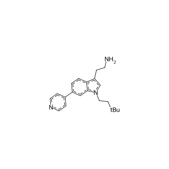 CC(C)(C)CCn1cc(CCN)c2ccc(-c3ccncc3)cc21